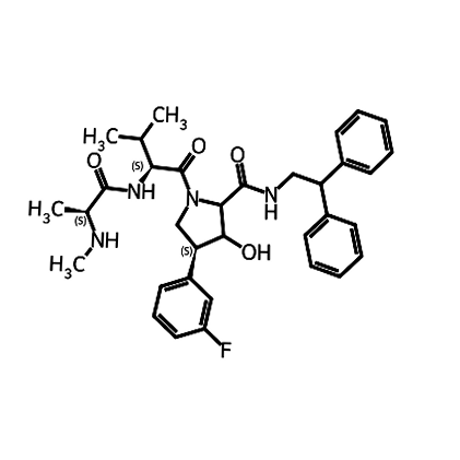 CN[C@@H](C)C(=O)N[C@H](C(=O)N1C[C@H](c2cccc(F)c2)C(O)C1C(=O)NCC(c1ccccc1)c1ccccc1)C(C)C